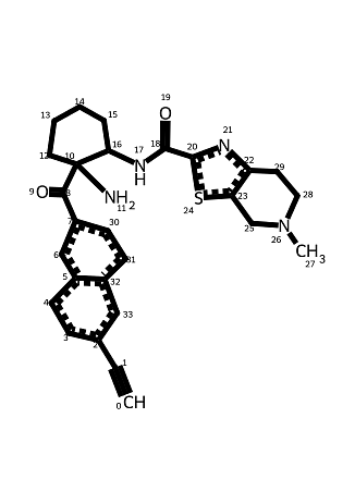 C#Cc1ccc2cc(C(=O)C3(N)CCCCC3NC(=O)c3nc4c(s3)CN(C)CC4)ccc2c1